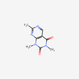 Cn1c(=O)c2cnc(C(F)(F)F)nc2n(C)c1=O